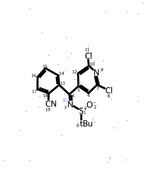 CC(C)(C)[S+]([O-])/N=C(\c1cc(Cl)nc(Cl)c1)c1ccccc1C#N